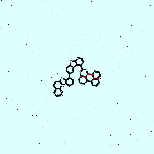 C=CC1=C(/C=C\Cc2nc(-c3ccccc3)nc(-c3cccc4oc5ccc(-c6cccc7c6oc6ccc8ccccc8c67)cc5c34)n2)c2ccccc2CC1